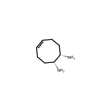 N[C@@H]1CCC=CCC[C@@H]1N